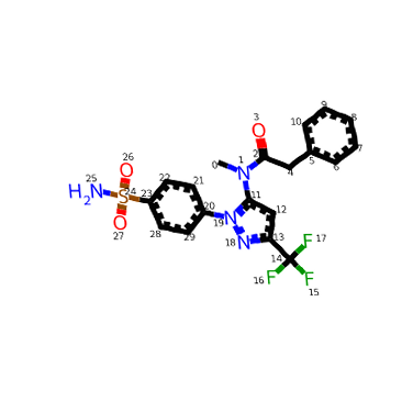 CN(C(=O)Cc1ccccc1)c1cc(C(F)(F)F)nn1-c1ccc(S(N)(=O)=O)cc1